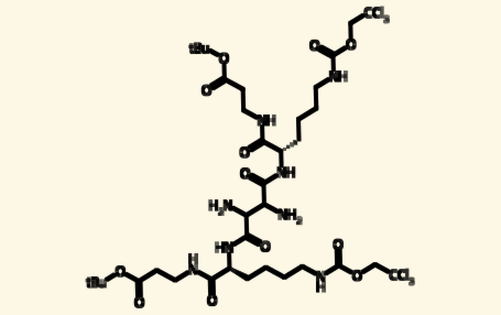 CC(C)(C)OC(=O)CCNC(=O)[C@H](CCCCNC(=O)OCC(Cl)(Cl)Cl)NC(=O)C(N)C(N)C(=O)N[C@@H](CCCCNC(=O)OCC(Cl)(Cl)Cl)C(=O)NCCC(=O)OC(C)(C)C